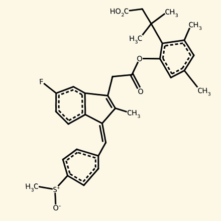 CC1=C(CC(=O)Oc2cc(C)cc(C)c2C(C)(C)CC(=O)O)c2cc(F)ccc2/C1=C\c1ccc([S+](C)[O-])cc1